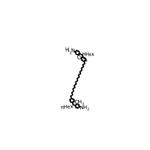 CCCCCCC(c1ccc(CCCCCCCCCCCCCCCCCCCCc2ccc(C(CCCCCC)c3ccc(N)cc3C)cc2)cc1)c1ccc(N)cc1C